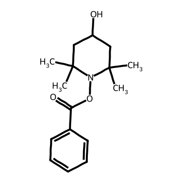 CC1(C)CC(O)CC(C)(C)N1OC(=O)c1ccccc1